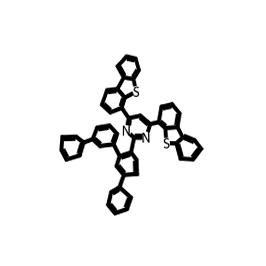 c1ccc(-c2cccc(-c3cc(-c4ccccc4)ccc3-c3nc(-c4cccc5c4sc4ccccc45)cc(-c4cccc5c4sc4ccccc45)n3)c2)cc1